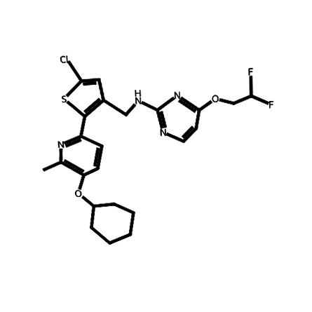 Cc1nc(-c2sc(Cl)cc2CNc2nccc(OCC(F)F)n2)ccc1OC1CCCCC1